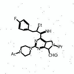 CCC(Cc1ccc(F)cc1)C(=N)c1nc(N2CCN(C(C)=O)CC2)nc2c1CN(C(C)C)C2C=O